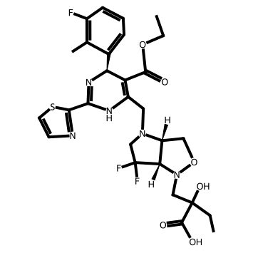 CCOC(=O)C1=C(CN2CC(F)(F)[C@@H]3[C@H]2CON3CC(O)(CC)C(=O)O)NC(c2nccs2)=N[C@H]1c1cccc(F)c1C